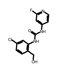 O=C(Nc1ccnc(F)c1)Nc1cc(Cl)ccc1CO